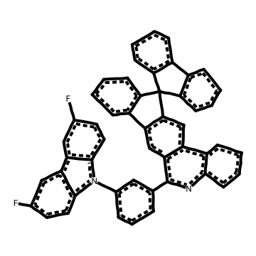 Fc1ccc2c(c1)c1cc(F)ccc1n2-c1cccc(-c2nc3ccccc3c3cc4c(cc23)-c2ccccc2C42c3ccccc3-c3ccccc32)c1